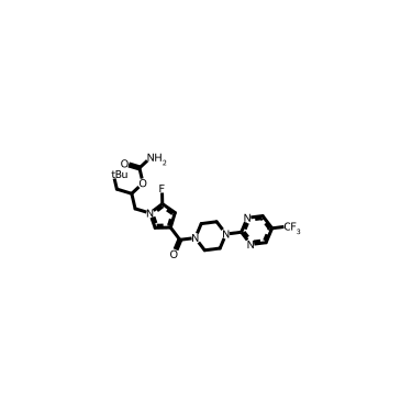 CC(C)(C)CC(Cn1cc(C(=O)N2CCN(c3ncc(C(F)(F)F)cn3)CC2)cc1F)OC(N)=O